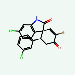 O=C1C[C@@H](c2cccc(Cl)c2)[C@@]2(C=C1Br)C(=O)Nc1cc(Cl)ccc12